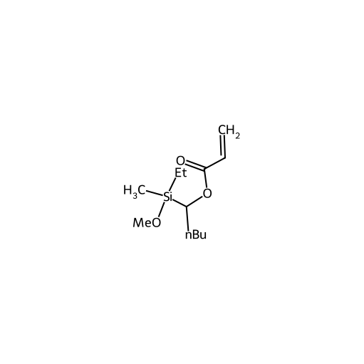 C=CC(=O)OC(CCCC)[Si](C)(CC)OC